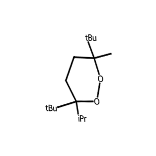 CC(C)C1(C(C)(C)C)CCC(C)(C(C)(C)C)OO1